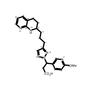 COc1ccc(C(CC(=O)O)n2ncc(CCCC3CCc4cccnc4N3)n2)cn1